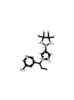 CCC(c1cncc(Cl)c1)n1cc(B2OC(C)(C)C(C)(C)O2)cn1